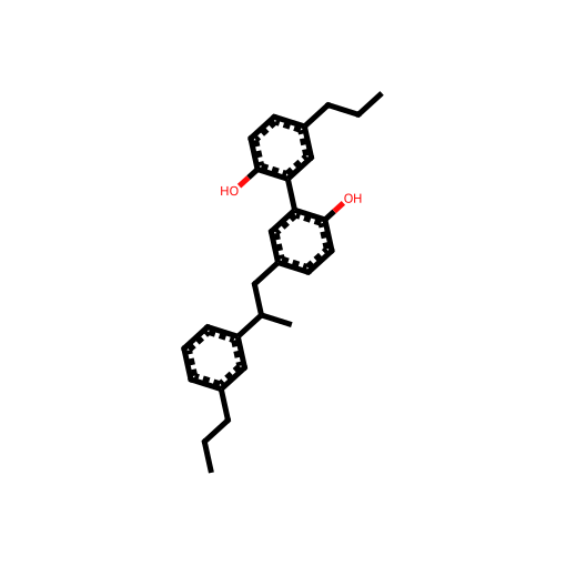 CCCc1cccc(C(C)Cc2ccc(O)c(-c3cc(CCC)ccc3O)c2)c1